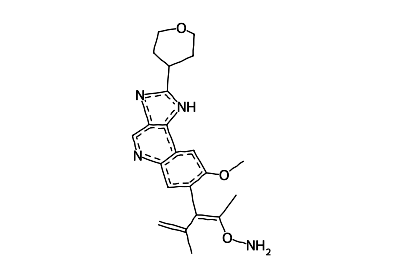 C=C(C)/C(=C(/C)ON)c1cc2ncc3nc(C4CCOCC4)[nH]c3c2cc1OC